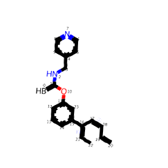 B=C(NCc1ccncc1)Oc1cccc(C(/C=C\C=C)=C/C)c1